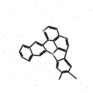 Cc1cc2c3ccc4ccnc5c6cc7ccccc7cc6n(c2cc1C)c3c45